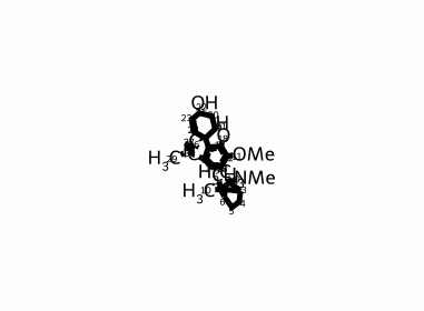 CNC1(C)C2CCC(C2)C1(C)C.COc1ccc2c3c1O[C@H]1C[C@@H](O)C=C[C@@]31CCN(C)C2